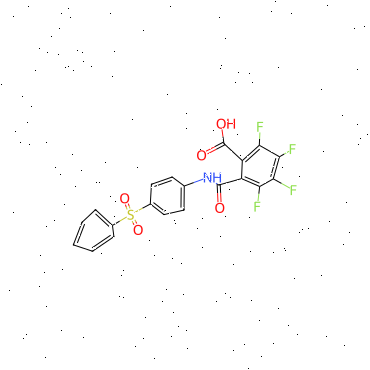 O=C(O)c1c(F)c(F)c(F)c(F)c1C(=O)Nc1ccc(S(=O)(=O)c2ccccc2)cc1